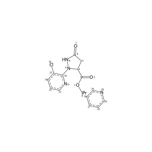 CC(C)OC(=O)C1CC(=O)NN1c1ncccc1Cl.c1ccncc1